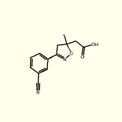 CC1(CC(=O)O)CC(c2cccc(C#N)c2)=NO1